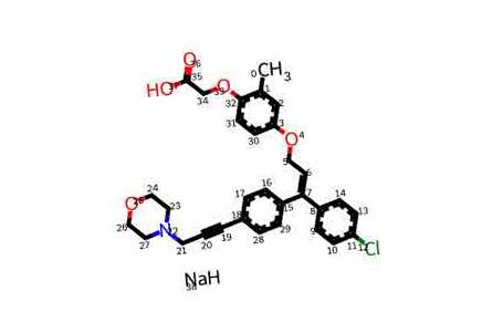 Cc1cc(OC/C=C(/c2ccc(Cl)cc2)c2ccc(C#CCN3CCOCC3)cc2)ccc1OCC(=O)O.[NaH]